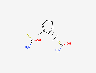 CC.CC.Cc1ccccc1.NC(O)=S.NC(O)=S